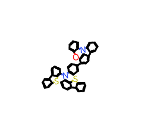 c1ccc2c(c1)Oc1c(-c3ccc(N(c4cccc5c4sc4ccccc45)c4cccc5c4sc4ccccc45)cc3)ccc3c4ccccc4n-2c13